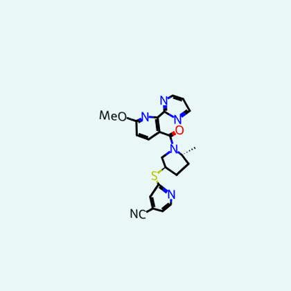 COc1ccc(C(=O)N2C[C@H](Sc3cc(C#N)ccn3)CC[C@H]2C)c(-c2ncccn2)n1